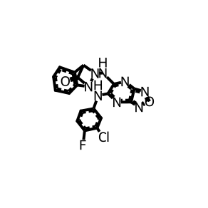 O=C1C2c3ccccc3N1N2Nc1nc2nonc2nc1Nc1ccc(F)c(Cl)c1